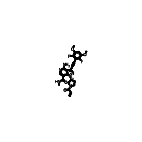 C=CC(=O)N1CC[C@H](n2nc(C#Cc3c(F)c(OC)cc(OC)c3F)c3c(N)ncc(C(=O)NC)c32)C1